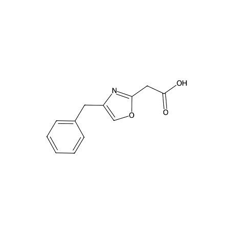 O=C(O)Cc1nc(Cc2ccccc2)co1